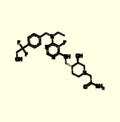 CCN(Cc1ccc(C(F)(F)CO)cc1)c1ncnc(NC[C@H]2CCN(CC(N)=O)C[C@@H]2O)c1F